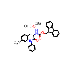 CC(C)(C)OC=O.O=C(N[C@@H](Cc1ccc([N+](=O)[O-])cc1)C(=O)Nc1ccccc1)OCC1c2ccccc2-c2ccccc21